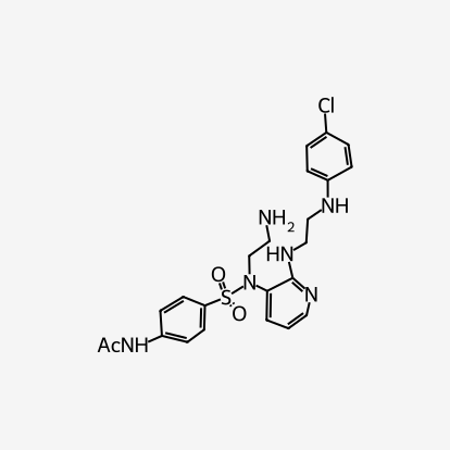 CC(=O)Nc1ccc(S(=O)(=O)N(CCN)c2cccnc2NCCNc2ccc(Cl)cc2)cc1